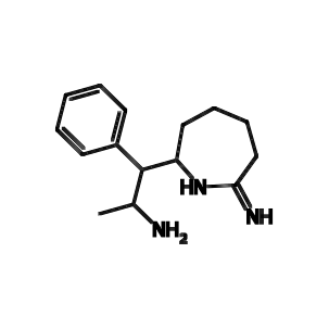 CC(N)C(c1ccccc1)C1CCCCC(=N)N1